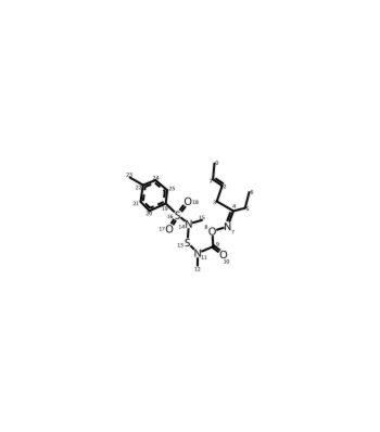 CC=CCC(CC)=NOC(=O)N(C)SN(C)S(=O)(=O)c1ccc(C)cc1